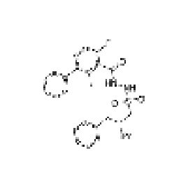 Cc1c(-c2ccccc2)ccc(F)c1C(=O)NNS(=O)(=O)CC(Cc1ccccc1)C(C)C